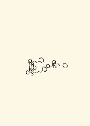 O=C1SC(CCCc2ccc(OCc3coc(C=Cc4ccccc4)n3)cc2)C(=O)N1Cc1coc(C=Cc2ccccc2)n1